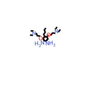 CCCCc1c(OCCCN(CC)CC)cc(N)c(N)c1OCCCN(CC)CC